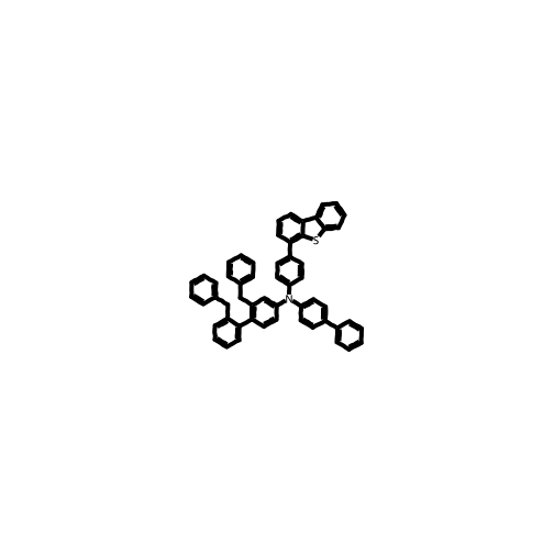 c1ccc(Cc2ccccc2-c2ccc(N(c3ccc(-c4ccccc4)cc3)c3ccc(-c4cccc5c4sc4ccccc45)cc3)cc2Cc2ccccc2)cc1